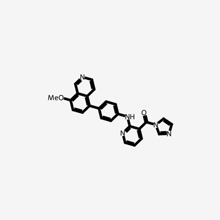 COc1ccc(-c2ccc(Nc3ncccc3C(=O)n3ccnc3)cc2)c2ccncc12